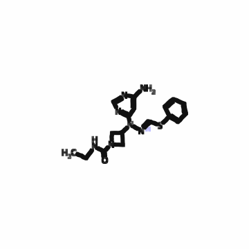 CCNC(=O)N1CC(N(/N=C/Sc2ccccc2)c2cc(N)ncn2)C1